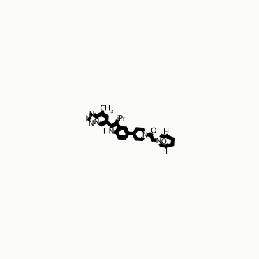 Cc1cc(-c2[nH]c3ccc(C4CCN(C(=O)CN5C[C@H]6CC[C@@H](C5)O6)CC4)cc3c2C(C)C)cn2nnnc12